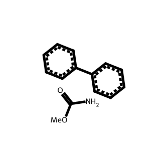 COC(N)=O.c1ccc(-c2ccccc2)cc1